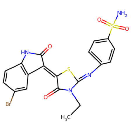 CCN1C(=O)/C(=C2/C(=O)Nc3ccc(Br)cc32)S/C1=N\c1ccc(S(N)(=O)=O)cc1